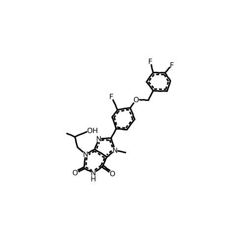 CC(O)Cn1c(=O)[nH]c(=O)c2c1nc(-c1ccc(OCc3ccc(F)c(F)c3)c(F)c1)n2C